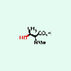 CN[C@H](C(=O)O)C(C)O